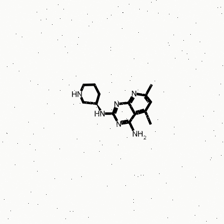 Cc1cc(C)c2c(N)nc(N[C@@H]3CCCNC3)nc2n1